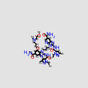 CCn1nc(C)cc1C(=O)Nc1nc2cc(C(N)=O)cnc2n1C/C=C/Cn1c(NC(=O)c2cc(C)nn2CC)nc2cc(C(N)=O)cc(OCCCN(C)CCOC)c21